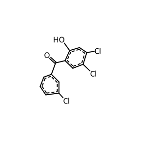 O=C(c1cccc(Cl)c1)c1cc(Cl)c(Cl)cc1O